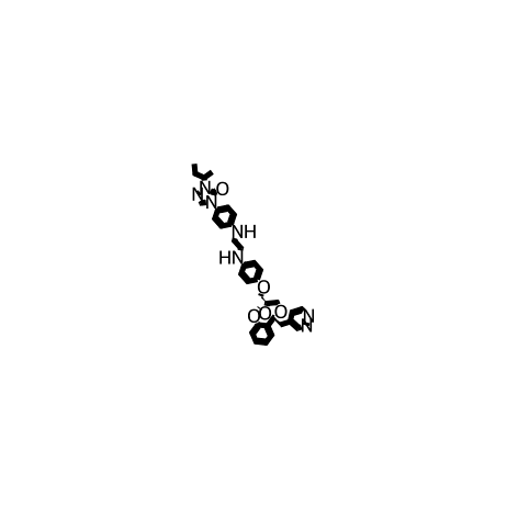 CCC(C)n1ncn(-c2ccc(NCCNc3ccc(OC[C@@H]4CO[C@](Cc5ccnnc5)(c5ccccc5OC)O4)cc3)cc2)c1=O